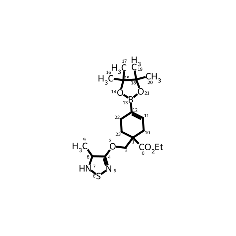 CCOC(=O)C1(COC2=NSNC2C)CC=C(B2OC(C)(C)C(C)(C)O2)CC1